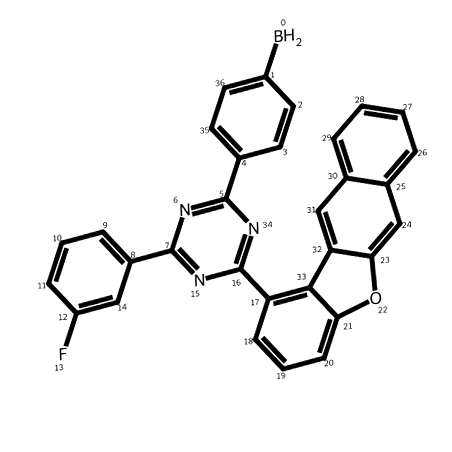 Bc1ccc(-c2nc(-c3cccc(F)c3)nc(-c3cccc4oc5cc6ccccc6cc5c34)n2)cc1